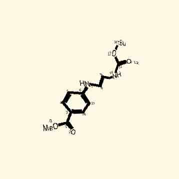 COC(=O)c1ccc(NCCNC(=O)OC(C)(C)C)cc1